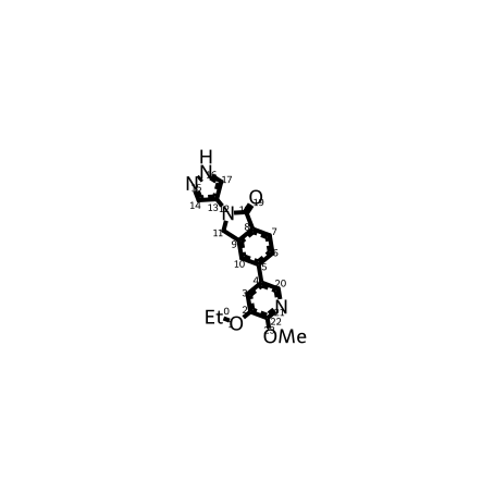 CCOc1cc(-c2ccc3c(c2)CN(c2cn[nH]c2)C3=O)cnc1OC